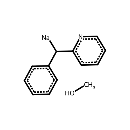 CO.[Na][CH](c1ccccc1)c1ccccn1